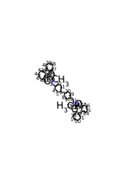 C/C(=C\c1ccc(-c2ccc(/C=C(\C)P3(=O)Oc4ccccc4-c4ccccc43)cc2)cc1)P1(=O)Oc2ccccc2-c2ccccc21